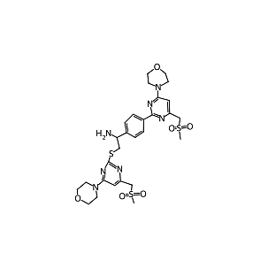 CS(=O)(=O)Cc1cc(N2CCOCC2)nc(SCC(N)c2ccc(-c3nc(CS(C)(=O)=O)cc(N4CCOCC4)n3)cc2)n1